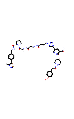 Cc1ncsc1-c1ccc(CNC(=O)[C@@H]2C[C@@H](O)CN2C(=O)[C@@H](NC(=O)CCNC(=O)CCCn2cnc(-c3cnc(O[C@@H]4CCN(C(=O)Cc5ccc(OC(F)(F)F)cc5)C[C@H]4F)c(C(N)=O)c3)c2)C(C)(C)C)cc1